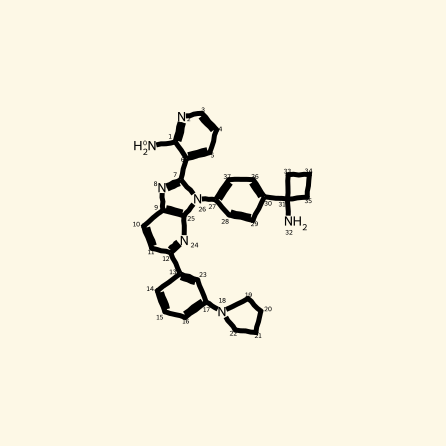 Nc1ncccc1-c1nc2ccc(-c3cccc(N4CCCC4)c3)nc2n1-c1ccc(C2(N)CCC2)cc1